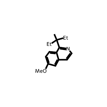 CCC(C)(CC)c1nccc2cc(OC)ccc12